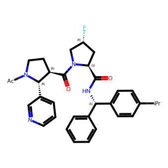 CC(=O)N1CC[C@@H](C(=O)N2C[C@H](F)C[C@H]2C(=O)N[C@@H](c2ccccc2)c2ccc(C(C)C)cc2)[C@@H]1c1cccnc1